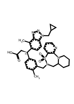 Cc1ccc([C@@H](CC(=O)O)c2ccc3c(nnn3CC3CC3)c2C)cc1CN1CC2CCCCN2c2ncccc2S1(=O)=O